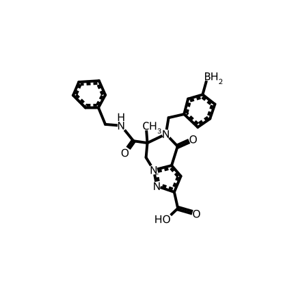 Bc1cccc(CN2C(=O)c3cc(C(=O)O)nn3CC2(C)C(=O)NCc2ccccc2)c1